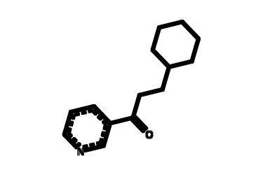 O=C(CCC1CCCCC1)c1cccnc1